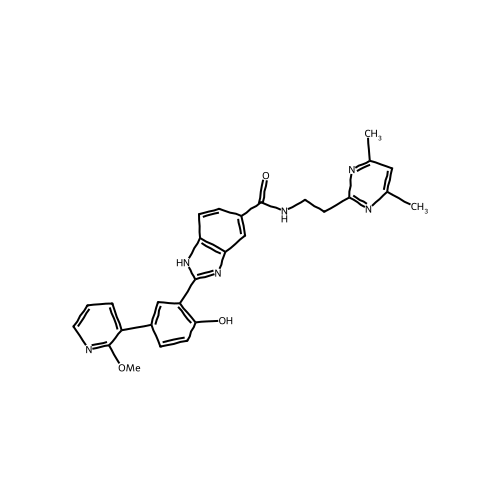 COc1ncccc1-c1ccc(O)c(-c2nc3cc(C(=O)NCCc4nc(C)cc(C)n4)ccc3[nH]2)c1